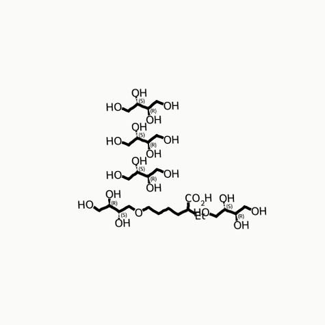 CCC(CCCCOC[C@H](O)[C@H](O)CO)C(=O)O.OC[C@@H](O)[C@@H](O)CO.OC[C@@H](O)[C@@H](O)CO.OC[C@@H](O)[C@@H](O)CO.OC[C@@H](O)[C@@H](O)CO